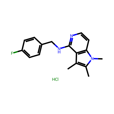 Cc1c(C)n(C)c2ccnc(NCc3ccc(F)cc3)c12.Cl